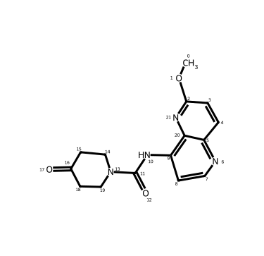 COc1ccc2nccc(NC(=O)N3CCC(=O)CC3)c2n1